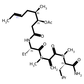 C=C(C(=O)N(C)[C@@H](CC(C)C)C(N)=O)N(C)C(=O)[C@H](CC)NC(=O)C[C@H](OC(C)=O)[C@H](C)C/C=C/C